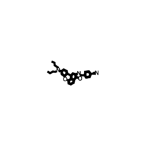 CCCCN(CCCC)c1ccc2c(c1)Oc1cccc3c1c-2cc1nc(-c2ccc(C#N)cc2)oc13